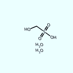 O.O.O=S(=O)(O)CO